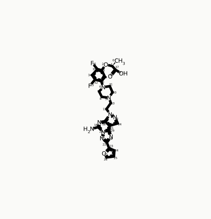 C[C@@H](Oc1cc(N2CCN(CCn3ncc4c3nc(N)n3nc(-c5ccco5)nc43)CC2)c(F)cc1F)C(=O)O